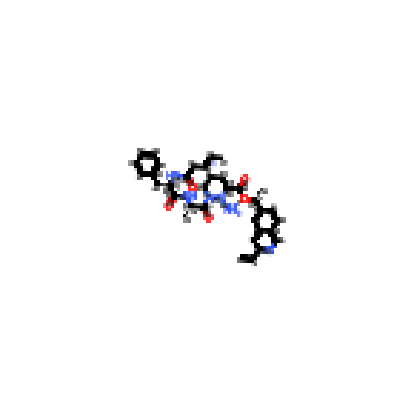 C=Cc1cc2cc([C@@H](C)OC(=O)[C@@H]3CCCN(C(=O)[C@H](C)NC(=O)[C@H](Cc4ccccc4)NC(=O)C/C=C/C)N3N)ccc2cn1